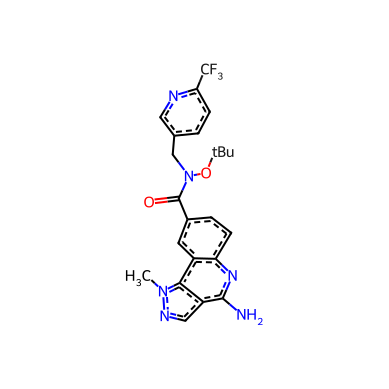 Cn1ncc2c(N)nc3ccc(C(=O)N(Cc4ccc(C(F)(F)F)nc4)OC(C)(C)C)cc3c21